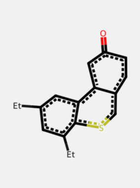 CCc1cc(CC)c2scc3ccc(=O)cc-3c2c1